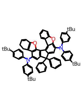 CC(C)(C)c1ccc(N(c2ccc(C(C)(C)C)cc2)c2cc3c(c4c2oc2ccccc24)-c2c(cc(N(c4ccc(C(C)(C)C)cc4)c4ccc(C(C)(C)C)cc4)c4c5c(oc24)C=CCC5)C3(c2ccccc2)c2ccccc2)cc1